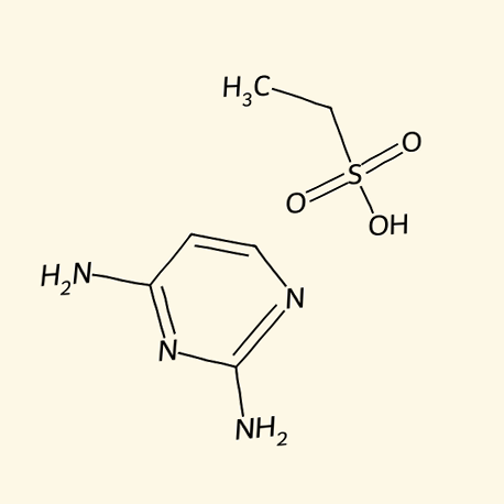 CCS(=O)(=O)O.Nc1ccnc(N)n1